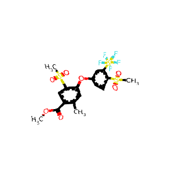 COC(=O)c1cc(S(C)(=O)=O)c(Oc2ccc(S(C)(=O)=O)c(S(F)(F)(F)(F)F)c2)cc1C